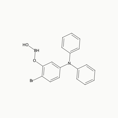 OBOc1cc(N(c2ccccc2)c2ccccc2)ccc1Br